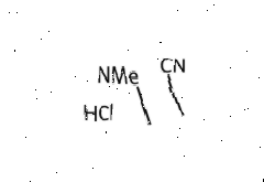 CC#N.CNC.Cl